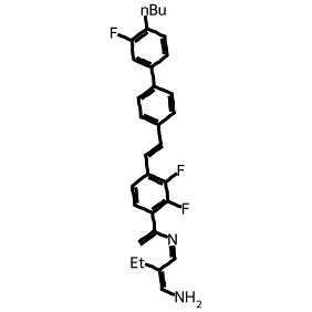 C=C(/N=C\C(=C/N)CC)c1ccc(/C=C/c2ccc(-c3ccc(CCCC)c(F)c3)cc2)c(F)c1F